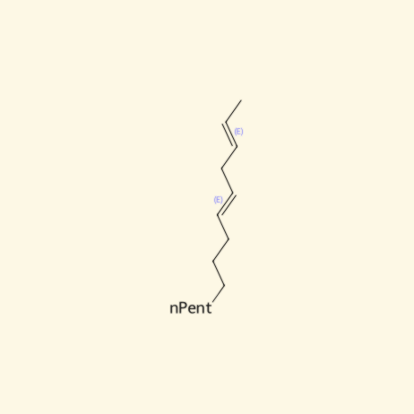 [CH2]CCCCCCC/C=C/C/C=C/C